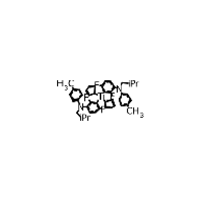 Cc1ccc(N(CC(C)C)c2ccc(F)[c]([Ti]([c]3c(F)ccc(N(CC(C)C)c4ccc(C)cc4)c3F)([CH]3C=CC=C3)[CH]3C=CC=C3)c2F)cc1